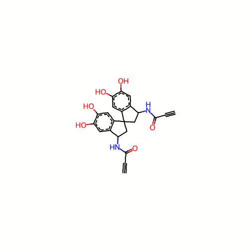 C#CC(=O)NC1CC2(CC(NC(=O)C#C)c3cc(O)c(O)cc32)c2cc(O)c(O)cc21